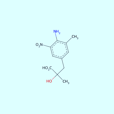 Cc1cc(CC(C)(O)C(=O)O)cc([N+](=O)[O-])c1N